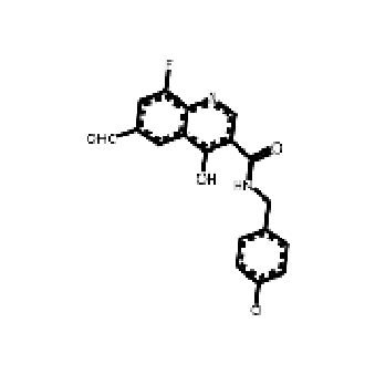 O=Cc1cc(F)c2ncc(C(=O)NCc3ccc(Cl)cc3)c(O)c2c1